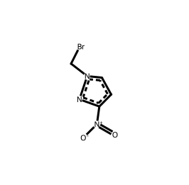 O=[N+]([O-])c1ccn(CBr)n1